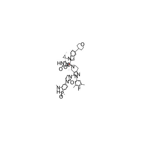 CNc1cc(-n2ccn(-c3c4c(nn3-c3cc(C)c(F)c(C)c3)CCN(C(=O)c3cc5cc(C6CCOCC6)ccc5n3[C@@]3(c5noc(=O)[nH]5)C[C@@H]3C)[C@H]4C)c2=O)ccc1P(C)(C)=O